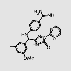 COc1cc(C)cc(C(Nc2ccc(C(=N)N)cc2)c2nn(-c3ncccn3)c(=O)[nH]2)c1